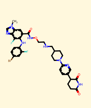 Cn1cnc2c(F)c(Nc3ccc(Br)cc3F)c(C(=O)NOCCNCC3CCN(c4ccc(C5CCC(=O)NC5=O)cn4)CC3)cc21